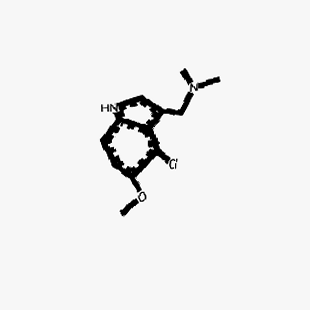 COc1ccc2[nH]cc(CN(C)C)c2c1Cl